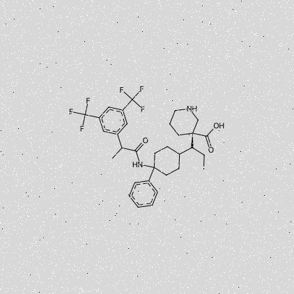 CCC(C1CCC(NC(=O)C(C)c2cc(C(F)(F)F)cc(C(F)(F)F)c2)(c2ccccc2)CC1)[C@@]1(C(=O)O)CCCNC1